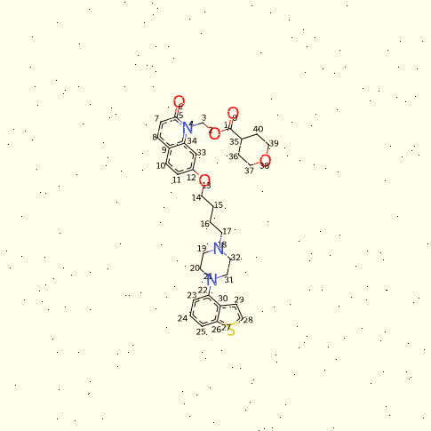 O=C(OCn1c(=O)ccc2ccc(OCCCCN3CCN(c4cccc5sccc45)CC3)cc21)C1CCOCC1